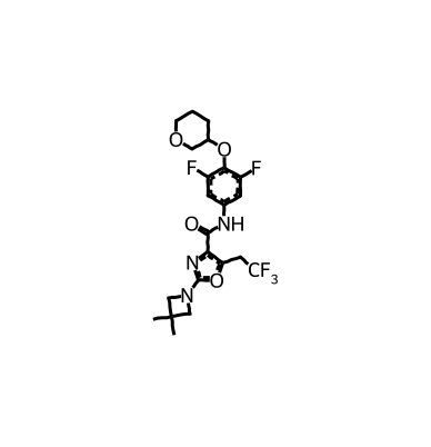 CC1(C)CN(c2nc(C(=O)Nc3cc(F)c(OC4CCCOC4)c(F)c3)c(CC(F)(F)F)o2)C1